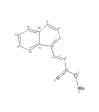 CC(C)(C)OC(=O)/C=C/c1cccc2ccccc12